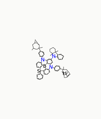 CC1CC2CC2=CC(C)(c2ccc(N3c4cc(N5c6ccccc6C6(C)CCCCC56C)cc5c4B4c6c3cccc6[Si@](C)(c3ccccc3)c3cccc(c34)N5c3ccc(C4(C)C=C5CC6=CC(C4)[C@H]65)cc3)cc2)C1